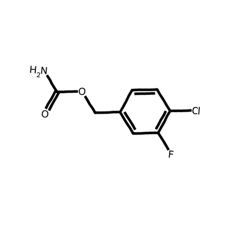 NC(=O)OCc1ccc(Cl)c(F)c1